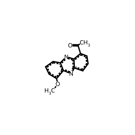 COc1cccc2nc3c(C(C)=O)cccc3nc12